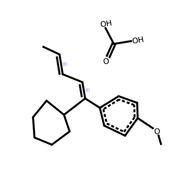 C/C=C/C=C(/c1ccc(OC)cc1)C1CCCCC1.O=C(O)O